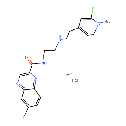 CCN1CC=C(CCNCCNC(=O)c2cnc3cc(I)ccc3n2)C=C1F.Cl.Cl